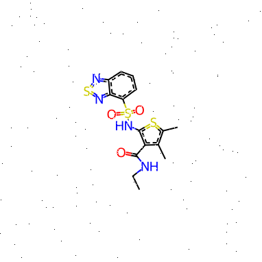 CCNC(=O)c1c(NS(=O)(=O)c2cccc3nsnc23)sc(C)c1C